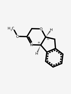 COC1=N[C@@H]2c3ccccc3C[C@@H]2OC1